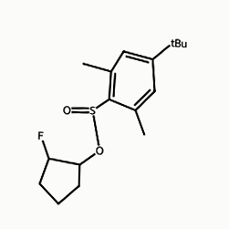 Cc1cc(C(C)(C)C)cc(C)c1S(=O)OC1CCCC1F